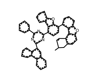 CC1C=Cc2c(ccc3oc4cccc(-c5ccc(-c6nc(-c7ccccc7)nc(-c7cc8ccccc8c8ccccc78)n6)c6c5oc5ccccc56)c4c23)C1